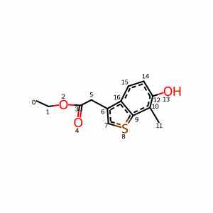 CCOC(=O)Cc1csc2c(C)c(O)ccc12